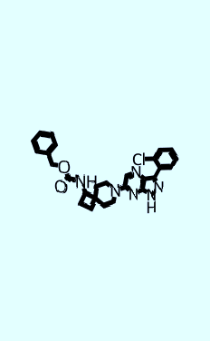 O=C(NC1CCC12CCN(c1cnc3c(-c4ccccc4Cl)n[nH]c3n1)CC2)OCc1ccccc1